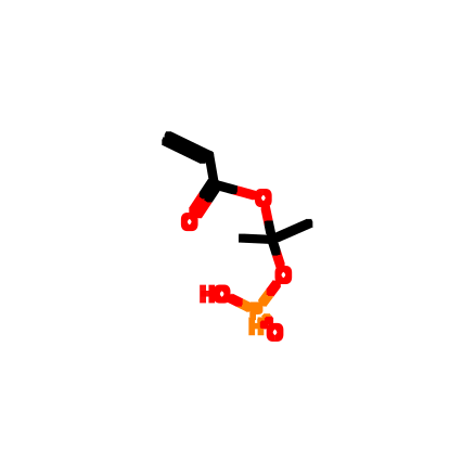 C=CC(=O)OC(C)(C)O[PH](=O)O